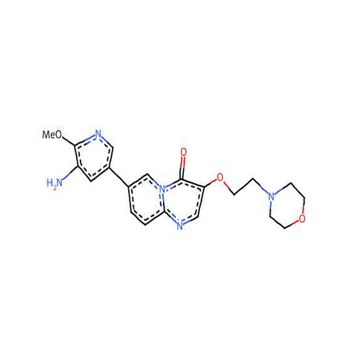 COc1ncc(-c2ccc3ncc(OCCN4CCOCC4)c(=O)n3c2)cc1N